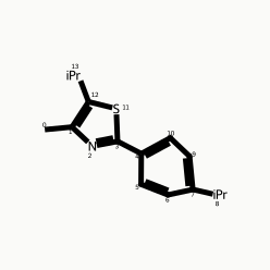 Cc1nc(-c2ccc(C(C)C)cc2)sc1C(C)C